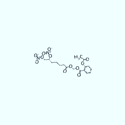 CC(=O)Oc1ccccc1C(=O)OCOC(=O)CCCCC(CO[N+](=O)[O-])O[N+](=O)[O-]